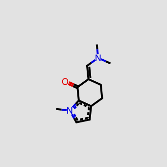 CN(C)C=C1CCc2ccn(C)c2C1=O